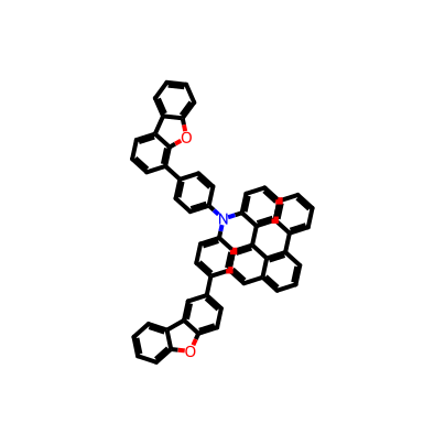 c1ccc(-c2cccc3cccc(-c4ccccc4N(c4ccc(-c5ccc6oc7ccccc7c6c5)cc4)c4ccc(-c5cccc6c5oc5ccccc56)cc4)c23)cc1